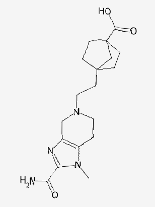 Cn1c(C(N)=O)nc2c1CCN(CCC13CCC(C(=O)O)(CC1)C3)C2